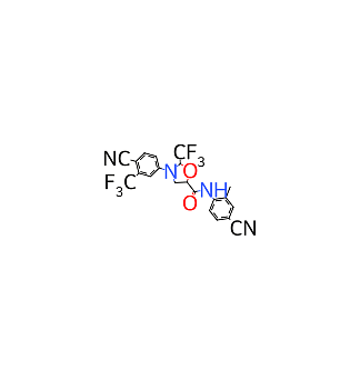 Cc1cc(C#N)ccc1NC(=O)C1CN(c2ccc(C#N)c(C(F)(F)F)c2)C(C(F)(F)F)O1